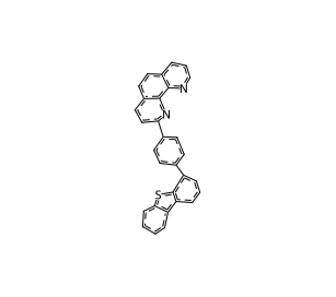 c1cnc2c(c1)ccc1ccc(-c3ccc(-c4cccc5c4sc4ccccc45)cc3)nc12